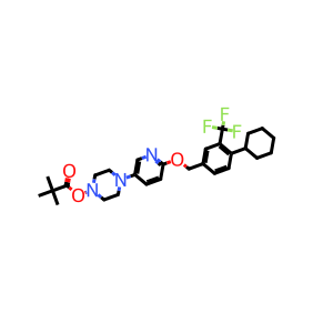 CC(C)(C)C(=O)ON1CCN(c2ccc(OCc3ccc(C4CCCCC4)c(C(F)(F)F)c3)nc2)CC1